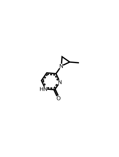 CC1CN1c1cc[nH]c(=O)n1